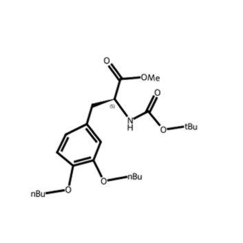 CCCCOc1ccc(C[C@H](NC(=O)OC(C)(C)C)C(=O)OC)cc1OCCCC